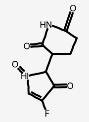 O=C1CCC(C2C(=O)C(F)=C[IH]2=O)C(=O)N1